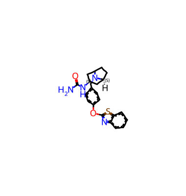 NC(=O)N[C@H]1CC2CC[C@@H](C1)N2Cc1ccc(Oc2nc3ccccc3s2)cc1